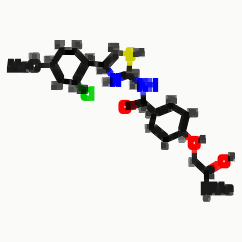 CNC(=O)COc1ccc(C(=O)Nc2nc(-c3ccc(OC)cc3Cl)cs2)cc1